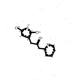 O=C(Cc1ccccn1)Cc1cc(Cl)sc1Cl